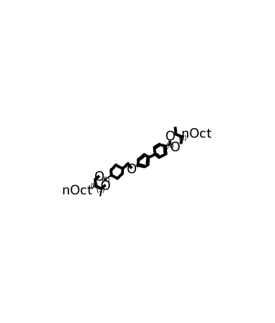 CCCCCCCC[C@@H]1CO[C@@H](c2ccc(-c3ccc(OCC4CCC([C@@H]5OC[C@@H](CCCCCCCC)[C@H](C)O5)CC4)cc3)cc2)OC1C